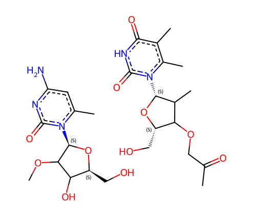 CC(=O)COC1C(C)[C@@H](n2c(C)c(C)c(=O)[nH]c2=O)O[C@H]1CO.COC1C(O)[C@H](CO)O[C@@H]1n1c(C)cc(N)nc1=O